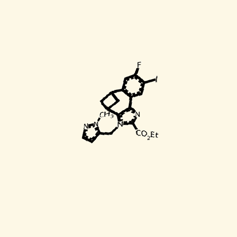 CCOC(=O)c1nc2c(n1Cc1ccnn1C)C1CC(C1)c1cc(F)c(I)cc1-2